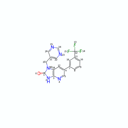 O=c1[nH]c2ncc(-c3cccc(C(F)(F)F)c3)cc2n1Cc1cncnc1